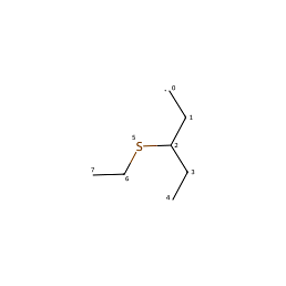 [CH2]CC(CC)SCC